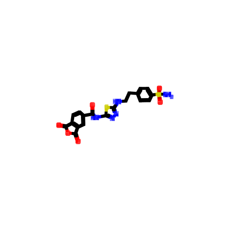 NS(=O)(=O)c1ccc(CCNc2nnc(NC(=O)c3ccc4c(c3)C(=O)OC4=O)s2)cc1